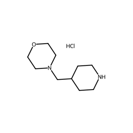 C1CC(CN2CCOCC2)CCN1.Cl